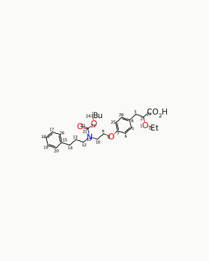 CCOC(Cc1ccc(OCCN(CCCc2ccccc2)C(=O)OC(C)CC)cc1)C(=O)O